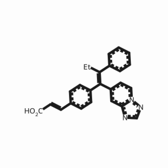 CCC(=C(c1ccc(C=CC(=O)O)cc1)c1ccn2ncnc2c1)c1ccccc1